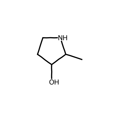 CC1NCCC1O